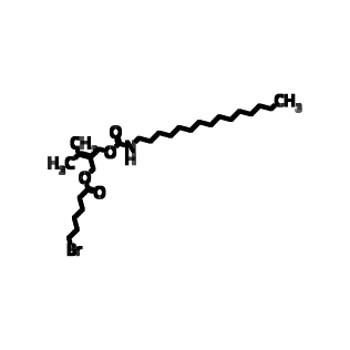 CCCCCCCCCCCCCCCNC(=O)OCC(COC(=O)CCCCCBr)=C(C)C